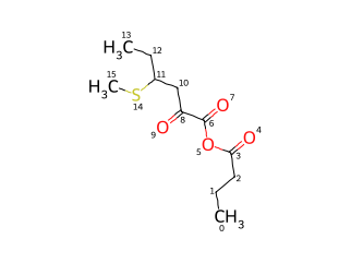 CCCC(=O)OC(=O)C(=O)CC(CC)SC